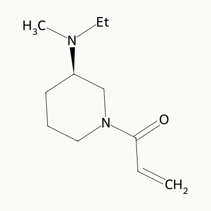 C=CC(=O)N1CCC[C@@H](N(C)CC)C1